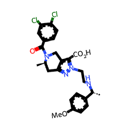 COc1ccc([C@@H](C)NCCn2nc3c(c2C(=O)O)CN(C(=O)c2ccc(Cl)c(Cl)c2)[C@H](C)C3)cc1